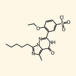 CCCCCc1nc(C)c2c(=O)[nH]c(-c3cc(S(=O)(=O)Cl)ccc3OCC)nn12